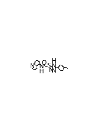 CCc1ccc(-c2nnc(SCC(=O)Nc3cccc4ncccc34)[nH]2)cc1